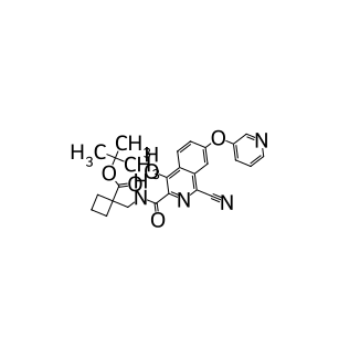 CC(C)(C)OC(=O)C1(CNC(=O)c2nc(C#N)c3cc(Oc4cccnc4)ccc3c2O)CCC1